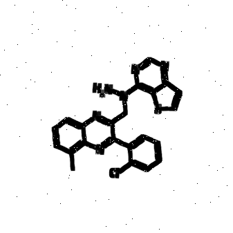 Cc1cccc2nc(CN(N)c3ncnc4ccsc34)c(-c3ccccc3Cl)nc12